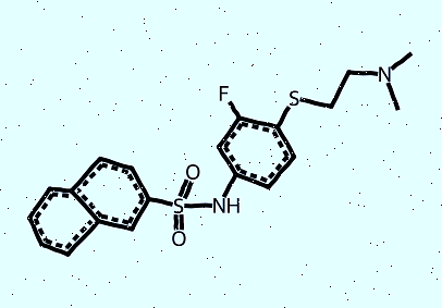 CN(C)CCSc1ccc(NS(=O)(=O)c2ccc3ccccc3c2)cc1F